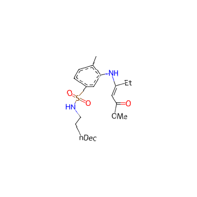 CCCCCCCCCCCCNS(=O)(=O)c1ccc(C)c(NC(=CC(=O)OC)CC)c1